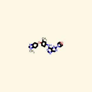 Cc1cc(Nc2ncnc3cnc(N4C5COCC4C5)nc23)ccc1Oc1ccc2c(c1)ncn2C